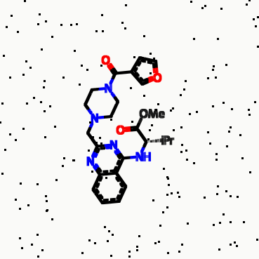 COC(=O)[C@@H](Nc1nc(CN2CCN(C(=O)c3ccoc3)CC2)nc2ccccc12)C(C)C